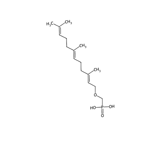 CC(C)=CCC/C(C)=C/CC/C(C)=C/COCP(=O)(O)O